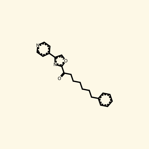 O=C(CCCCCCc1ccccc1)c1nc(-c2ccncc2)co1